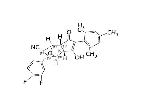 Cc1cc(C)c(C2=C(O)[C@@H]3[C@@H]4O[C@@H]([C@@H](C#N)[C@H]4c4ccc(F)c(F)c4)[C@@H]3C2=O)c(C)c1